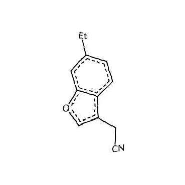 CCc1ccc2c(CC#N)coc2c1